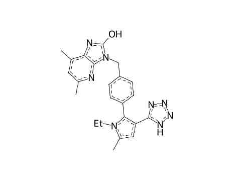 CCn1c(C)cc(-c2nnn[nH]2)c1-c1ccc(Cn2c(O)nc3c(C)cc(C)nc32)cc1